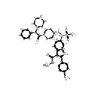 CNC(=O)c1c(-c2ccc(C)cc2)oc2cc(N(C)S(C)(=O)=O)c([C@H]3CCCN(C(=O)C(c4ccccc4)N4CCOCC4)C3)cc12